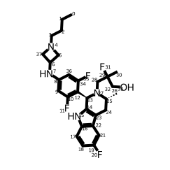 CCCCN1CC(Nc2cc(F)c([C@@H]3c4[nH]c5ccc(F)cc5c4C[C@@H](C)N3CC(C)(F)CO)c(F)c2)C1